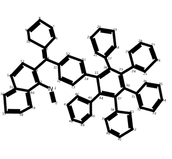 C=Nc1c(/C(=C2/C=CC=CC2)c2ccc(-c3c(-c4ccccc4)c(-c4ccccc4)c(-c4ccccc4)c(-c4ccccc4)c3-c3ccccc3)cc2)ccc2ccccc12